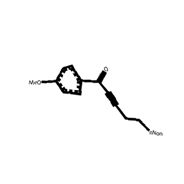 CCCCCCCCCCCC#CC(=O)c1ccc(OC)cc1